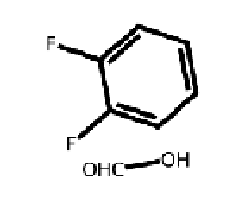 Fc1ccccc1F.O=CO